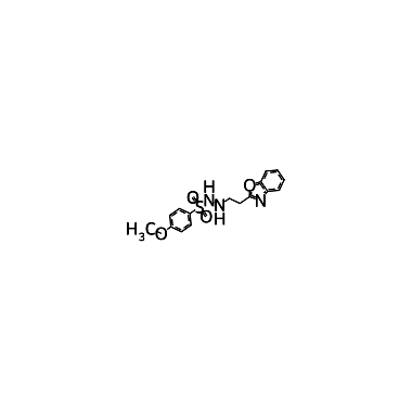 COc1ccc(S(=O)(=O)NNCCc2nc3ccccc3o2)cc1